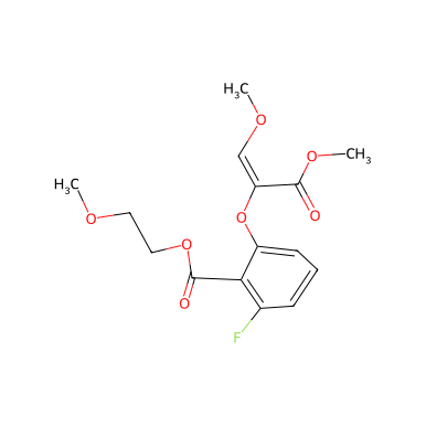 COC=C(Oc1cccc(F)c1C(=O)OCCOC)C(=O)OC